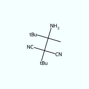 CC(C)(C)C(C)(N)C(C#N)(C#N)C(C)(C)C